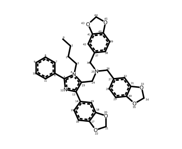 CCCCn1c(-c2ccccc2)nc(-c2ccc3c(c2)OCO3)c1CN(Cc1ccc2c(c1)OCO2)Cc1ccc2c(c1)OCO2